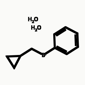 O.O.[B](CC1CC1)c1ccccc1